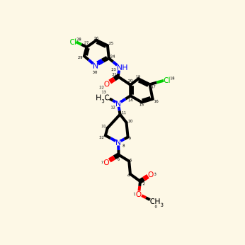 COC(=O)CCC(=O)N1CCC(N(C)c2ccc(Cl)cc2C(=O)Nc2ccc(Cl)cn2)CC1